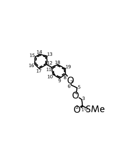 CSC(=O)COCCOc1ccc(-c2ccccc2)cc1